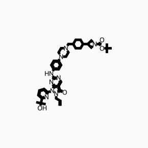 C=CCn1c(=O)c2cnc(Nc3ccc(N4CCN(CC5CCC(C6CN(C(=O)OC(C)(C)C)C6)CC5)CC4)cc3)nc2n1-c1cccc(C(C)(C)O)n1